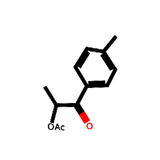 CC(=O)OC(C)C(=O)c1ccc(C)cc1